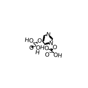 O=S(=O)(O)O.O=S(=O)(O)O.c1cncnc1